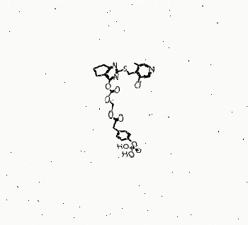 Cc1cncc(Cl)c1CSc1nc2c(c(OC(=O)OCOC(=O)Cc3ccc(OP(=O)(O)O)cc3)n1)CCC2